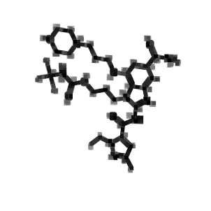 CCn1nc(C)cc1C(=O)Nc1nc2cc(C(N)=O)cc(OCCCN3CCOCC3)c2n1CCCOC(=O)NC(C)(C)C